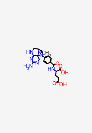 CN1C2CNC3=NC(N)=NCC31N(c1ccc(C(=O)NC(CCC(=O)O)C(=O)O)cc1)C2